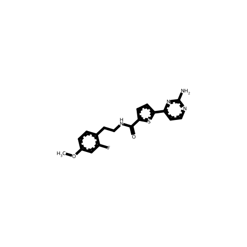 COc1ccc(CCNC(=O)c2ccc(-c3ccnc(N)n3)s2)c(F)c1